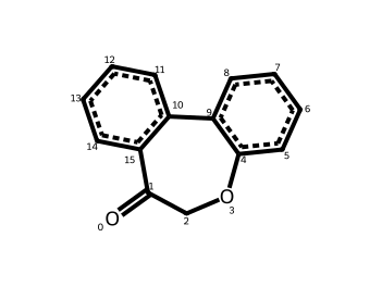 O=C1COc2ccccc2-c2ccccc21